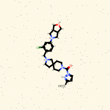 O=C(O)c1ccn(C(=O)N2CCC3(CCN(Cc4ccc(N5CC6COCC6C5)cc4Cl)C3)CC2)n1